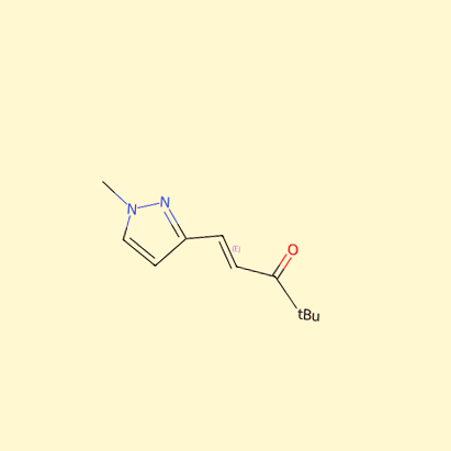 Cn1ccc(/C=C/C(=O)C(C)(C)C)n1